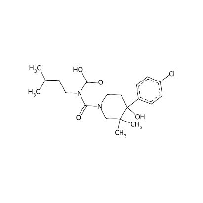 CC(C)CCN(C(=O)O)C(=O)N1CCC(O)(c2ccc(Cl)cc2)C(C)(C)C1